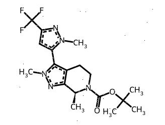 C[C@H]1c2nn(C)c(-c3cc(C(F)(F)F)nn3C)c2CCN1C(=O)OC(C)(C)C